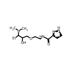 CCC(C(O)COCCNC(=O)c1cc[nH]n1)N(C)C